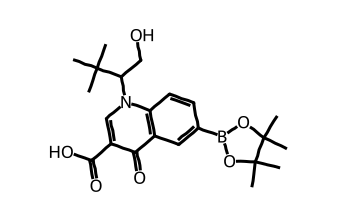 CC(C)(C)C(CO)n1cc(C(=O)O)c(=O)c2cc(B3OC(C)(C)C(C)(C)O3)ccc21